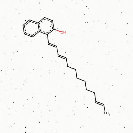 CC=CCCCCCCC=CC=Cc1c(O)ccc2ccccc12